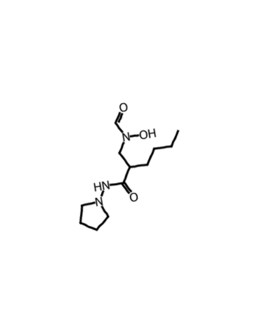 CCCCC(CN(O)C=O)C(=O)NN1CCCC1